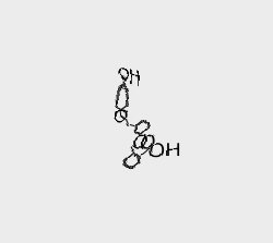 O=C(O)c1ccccc1COc1cccc(CCOc2ccc(O)cc2)c1